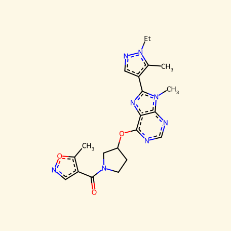 CCn1ncc(-c2nc3c(OC4CCN(C(=O)c5cnoc5C)C4)ncnc3n2C)c1C